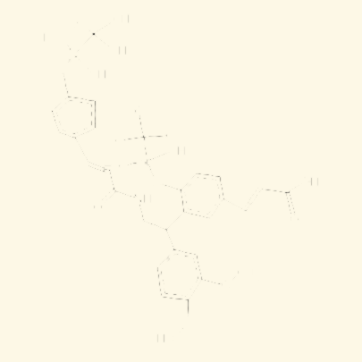 COc1ccc(C(CNC(=O)/C=C/c2ccc(O[Si](C)(C)C(C)(C)C)cc2)c2cc(/C=C/C(=O)O)ccc2O[Si](C)(C)C(C)(C)C)cc1OC